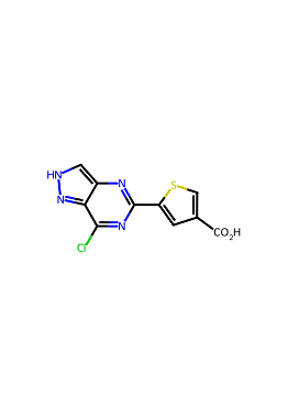 O=C(O)c1csc(-c2nc(Cl)c3n[nH]cc3n2)c1